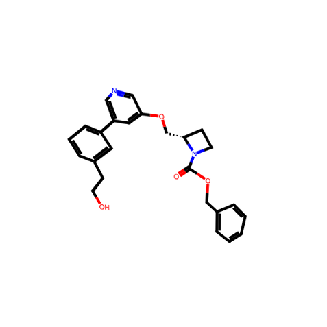 O=C(OCc1ccccc1)N1CC[C@H]1COc1cncc(-c2cccc(CCO)c2)c1